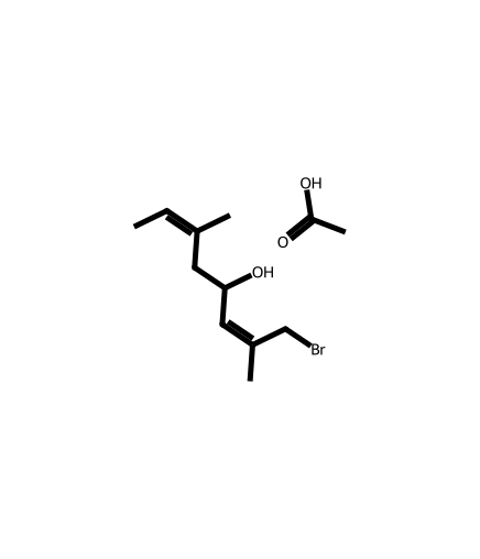 CC(=O)O.CC=C(C)CC(O)C=C(C)CBr